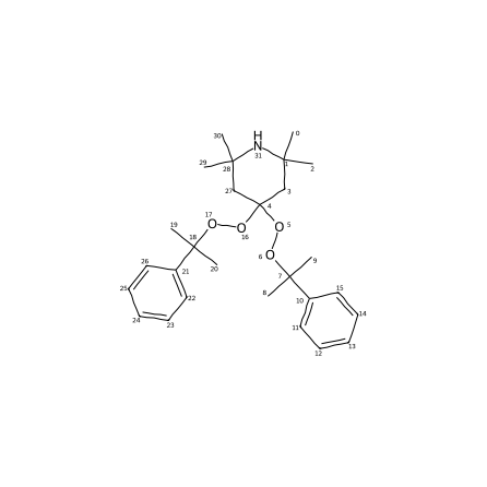 CC1(C)CC(OOC(C)(C)c2ccccc2)(OOC(C)(C)c2ccccc2)CC(C)(C)N1